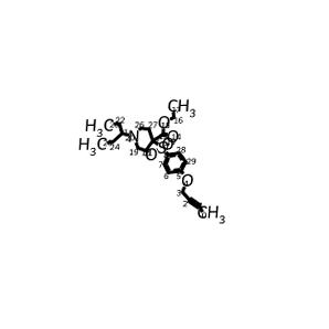 CC#CCOc1ccc(S(=O)(=O)C2(C(=O)OCC)CCN(C(CC)CC)CC2)cc1